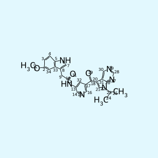 COc1ccc2[nH]cc(CC(=O)Nc3cncc(C(=O)c4cn(C(C)C)c5ncncc45)c3)c2c1